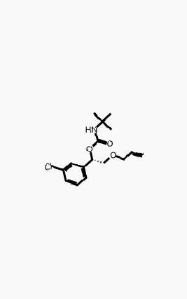 C=CCOC[C@@H](OC(=O)NC(C)(C)C)c1cccc(Cl)c1